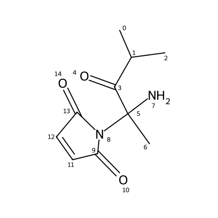 CC(C)C(=O)C(C)(N)N1C(=O)C=CC1=O